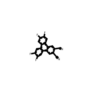 N#Cc1cc2c3cc(F)c(F)cc3c3cc(F)c(F)cc3c2cc1C#N